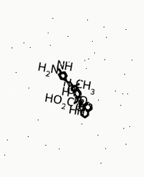 Cc1c(CNc2ccc(C(=N)N)cc2)oc2cc(N(CC(=O)O)S(=O)(=O)c3cccc4c3NCCC4)ccc12